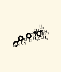 CC1(C)CC(C(C)(C)Oc2ccc(Oc3cccc(-c4ccncn4)c3C#N)c(Cl)c2)CC(C)(C)N1